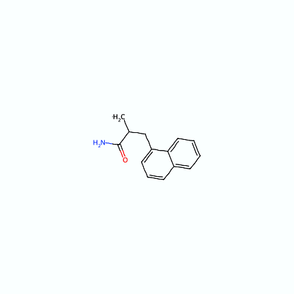 [CH2]C(Cc1cccc2ccccc12)C(N)=O